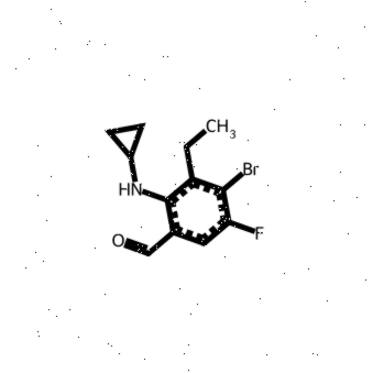 CCc1c(Br)c(F)cc(C=O)c1NC1CC1